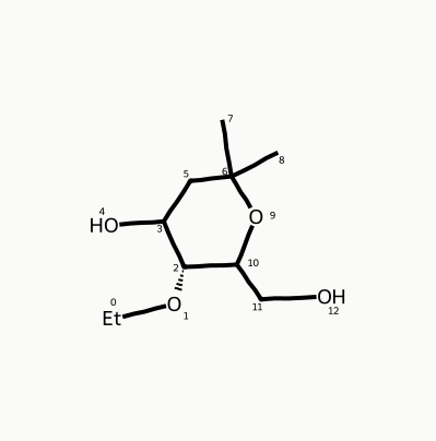 CCO[C@@H]1C(O)CC(C)(C)OC1CO